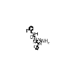 Nc1nc(-c2ccco2)c2ncn(CC(=O)NCc3ccccc3F)c2n1